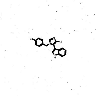 Clc1ccc(Cn2cnc(Cl)c2-c2c[nH]c3ccccc23)cc1